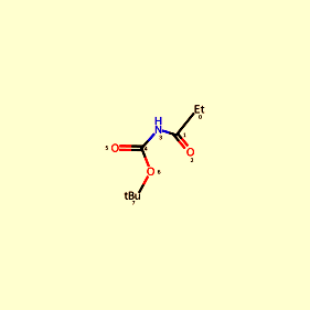 CCC(=O)NC(=O)OC(C)(C)C